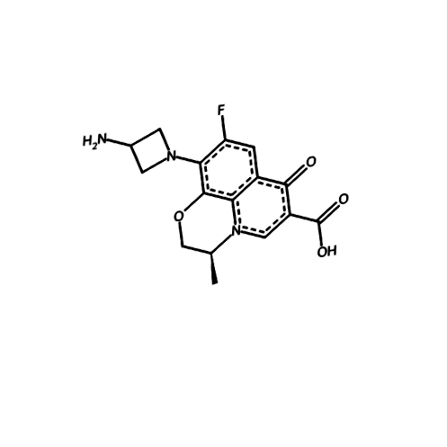 C[C@H]1COc2c(N3CC(N)C3)c(F)cc3c(=O)c(C(=O)O)cn1c23